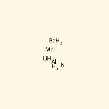 [AlH3].[BaH2].[LiH].[Mn].[Ni]